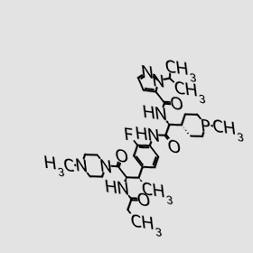 CCC(=O)N[C@@H](C(=O)N1CCN(C)CC1)[C@@H](C)c1ccc(NC(=O)[C@@H](NC(=O)c2ccnn2C(C)C)[C@H]2CC[P@](C)CC2)c(F)c1